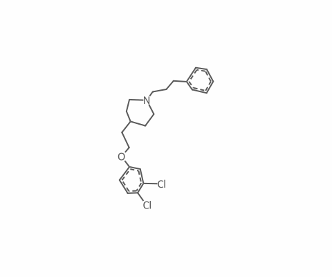 Clc1ccc(OCCC2CCN(CCCc3ccccc3)CC2)cc1Cl